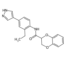 CCc1cc(-c2cn[nH]c2)ccc1NC(=O)C1COc2ccccc2O1